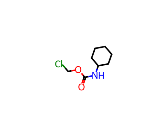 O=C(NC1CCCCC1)OCCl